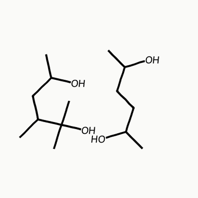 CC(O)CC(C)C(C)(C)O.CC(O)CCC(C)O